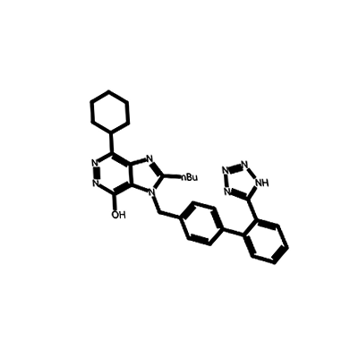 CCCCc1nc2c(C3CCCCC3)nnc(O)c2n1Cc1ccc(-c2ccccc2-c2nnn[nH]2)cc1